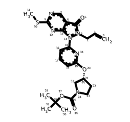 C=CCn1c(=O)c2cnc(SC)nc2n1-c1cccc(O[C@@H]2CCN(C(=O)OC(C)(C)C)C2)n1